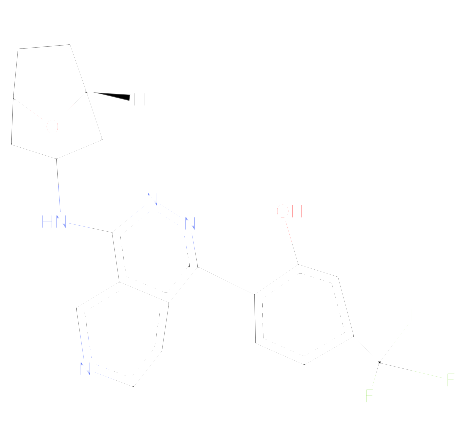 Oc1cc(C(F)(F)F)ccc1-c1nnc(NC2CC3CC[C@H](C2)O3)c2cnccc12